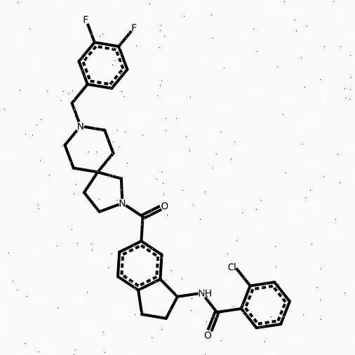 O=C(NC1CCc2ccc(C(=O)N3CCC4(CCN(Cc5ccc(F)c(F)c5)CC4)C3)cc21)c1ccccc1Cl